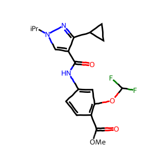 COC(=O)c1ccc(NC(=O)c2cn(C(C)C)nc2C2CC2)cc1OC(F)F